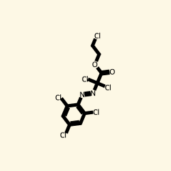 O=C(OCCCl)C(Cl)(Cl)/N=N/c1c(Cl)cc(Cl)cc1Cl